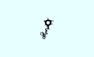 O=[N+]([O-])SSCc1ccccc1